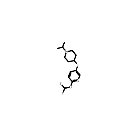 CC(C)N1CCC(Oc2ccc(OC(F)F)nc2)CC1